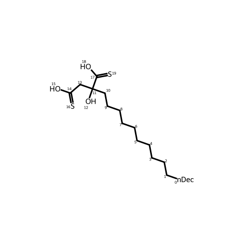 CCCCCCCCCCCCCCCCCCCCC(O)(CC(O)=S)C(O)=S